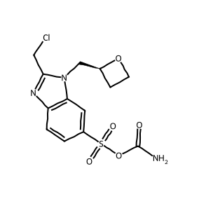 NC(=O)OS(=O)(=O)c1ccc2nc(CCl)n(C[C@@H]3CCO3)c2c1